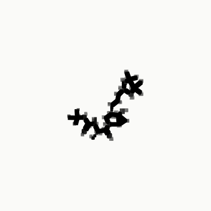 C[C@H](NC(=O)OC(C)(C)C)C(=O)N1C[C@H](CCCB2OC(C)(C)C(C)(C)O2)[C@@H]2CC21